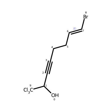 OC(C#CCC/C=C/Br)C(Cl)(Cl)Cl